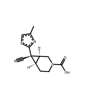 Cc1csc([C@@]2(C#N)[C@@H]3CCN(C(=O)O)C[C@@H]32)n1